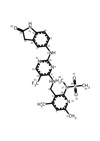 Cc1cc(C)c(CNc2nc(Nc3ccc4c(c3)CC(=O)N4)ncc2C(F)(F)F)c(N(C)S(C)(=O)=O)n1